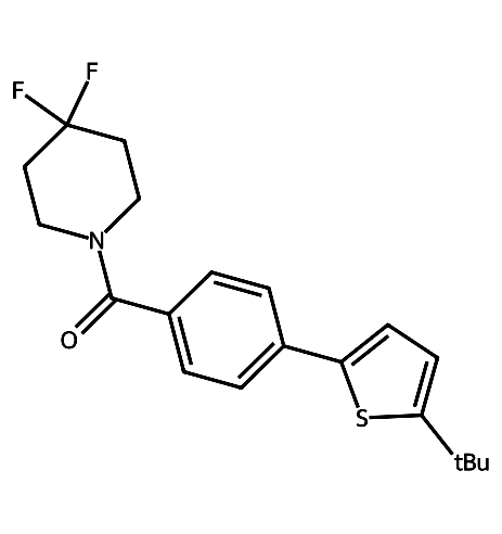 CC(C)(C)c1ccc(-c2ccc(C(=O)N3CCC(F)(F)CC3)cc2)s1